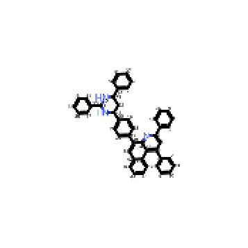 c1ccc(-c2cc(-c3ccccc3)c3c(n2)c(-c2ccc(C4CC(c5ccccc5)NC(c5ccccc5)N4)cc2)cc2ccccc23)cc1